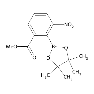 COC(=O)c1cccc([N+](=O)[O-])c1B1OC(C)(C)C(C)(C)O1